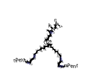 C=NN(/C=C(\C)CCC1COC(CCCCCCC/C=C/C/C=C\CCCCC)(CCCCCCCC/C=C\C/C=C\CCCCC)O1)CCN(C)C